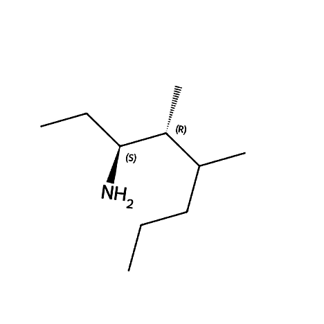 CCCC(C)[C@@H](C)[C@@H](N)CC